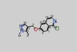 Cc1c(COc2ccc3c(Cl)nccc3c2)cnn1C